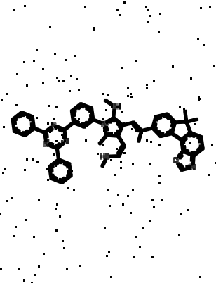 CB/C=C\c1c(/C=C(\C)c2ccc3c(c2)-c2c(ccc4ncoc24)C3(C)C)c(BC)n(-c2cccc(-c3nc(-c4ccccc4)nc(-c4ccccc4)n3)c2)c1C